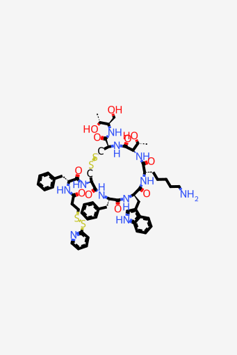 C[C@@H](O)[C@@H]1NC(=O)[C@H](CCCCCN)NC(=O)[C@@H](Cc2c[nH]c3ccccc23)NC(=O)[C@H](Cc2ccccc2)NC(=O)[C@@H](NC(=O)[C@@H](Cc2ccccc2)NC(=O)CCSSc2ccccn2)CSSC[C@@H](C(=O)N[C@H](CO)[C@@H](C)O)NC1=O